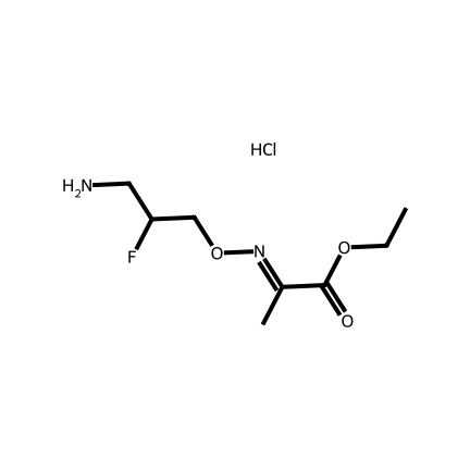 CCOC(=O)C(C)=NOCC(F)CN.Cl